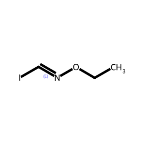 CCO/N=C/I